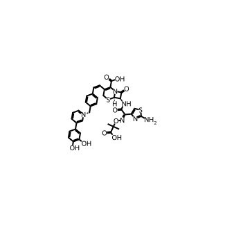 CC(C)(O/N=C(\C(=O)N[C@@H]1C(=O)N2C(C(=O)O)=C(/C=C\c3ccc(C[n+]4cccc(-c5ccc(O)c(O)c5)c4)cc3)CS[C@H]12)c1csc(N)n1)C(=O)O